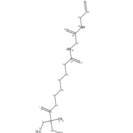 CCC(C)(CC)C(=O)CCCCCCC(=O)NCC(=O)NCC=O